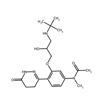 CC(=O)N(C)c1ccc(C2=NNC(=O)CC2)c(OCC(O)CNC(C)(C)C)c1